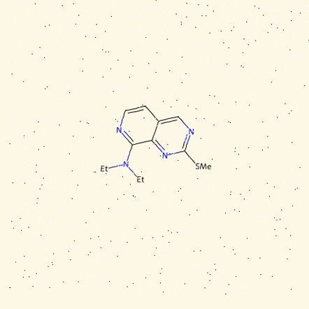 CCN(CC)c1nccc2cnc(SC)nc12